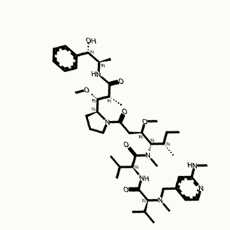 CC[C@H](C)[C@@H]([C@@H](CC(=O)N1CCC[C@H]1[C@H](OC)[C@@H](C)C(=O)N[C@H](C)[C@@H](O)c1ccccc1)OC)N(C)C(=O)[C@@H](NC(=O)[C@H](C(C)C)N(C)Cc1ccnc(NC)c1)C(C)C